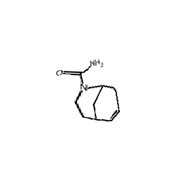 NC(=O)N1CCC2C=CCC1C2